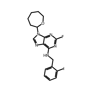 Fc1nc(NCc2ccccc2I)c2ncn(C3CCCCCO3)c2n1